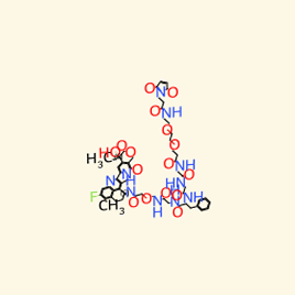 CC[C@@]1(O)C(=O)OCc2c1cc1n(c2=O)Cc2c-1nc1cc(F)c(C)c3c1c2[C@@H](NC(=O)COCNC(=O)CNC(=O)C(Cc1ccccc1)NC(=O)CNC(=O)CNC(=O)CCOCCOCCNC(=O)CCN1C(=O)C=CC1=O)CC3